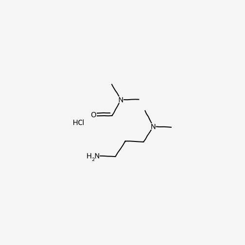 CN(C)C=O.CN(C)CCCN.Cl